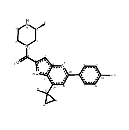 C[C@H]1CN(C(=O)c2cc3nc(-c4ccc(F)cc4)cc(C4(C)CC4)c3o2)CCN1